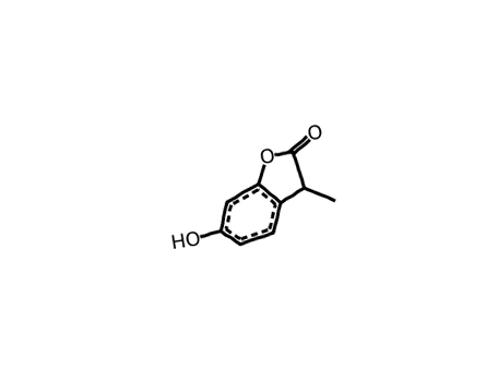 CC1C(=O)Oc2cc(O)ccc21